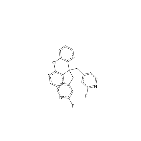 Fc1cc(CC2(Cc3ccnc(F)c3)c3ccccc3Oc3ncccc32)ccn1